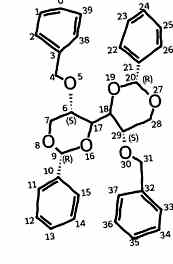 c1ccc(CO[C@H]2CO[C@@H](c3ccccc3)OC2C2O[C@H](c3ccccc3)OC[C@@H]2OCc2ccccc2)cc1